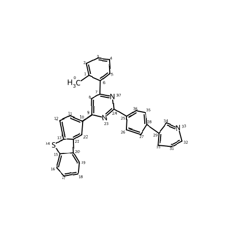 Cc1ccccc1-c1cc(-c2ccc3sc4ccccc4c3c2)nc(-c2ccc(-c3cccnc3)cc2)n1